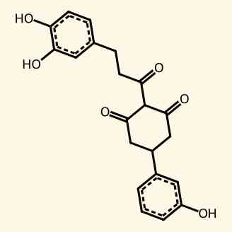 O=C(CCc1ccc(O)c(O)c1)C1C(=O)CC(c2cccc(O)c2)CC1=O